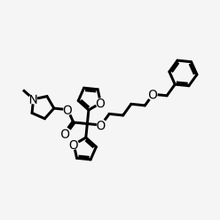 CN1CCC(OC(=O)C(OCCCCOCc2ccccc2)(c2ccco2)c2ccco2)C1